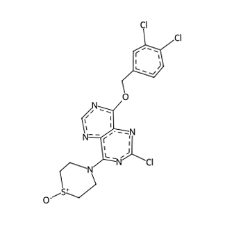 [O-][S+]1CCN(c2nc(Cl)nc3c(OCc4ccc(Cl)c(Cl)c4)ncnc23)CC1